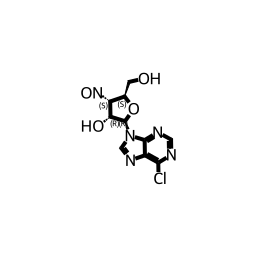 O=N[C@H]1[C@@H](O)[C@H](n2cnc3c(Cl)ncnc32)O[C@@H]1CO